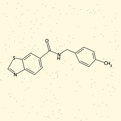 Cc1ccc(CNC(=O)c2ccc3ncsc3c2)cc1